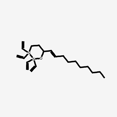 C=C[Si]1(C=C)CCC(C=CCCCCCCCC)O[Si]1(C=C)C=C